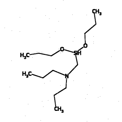 CCCO[SiH](CN(CCC)CCC)OCCC